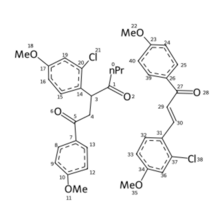 CCCC(=O)C(CC(=O)c1ccc(OC)cc1)c1ccc(OC)cc1Cl.COc1ccc(C(=O)C=Cc2ccc(OC)cc2Cl)cc1